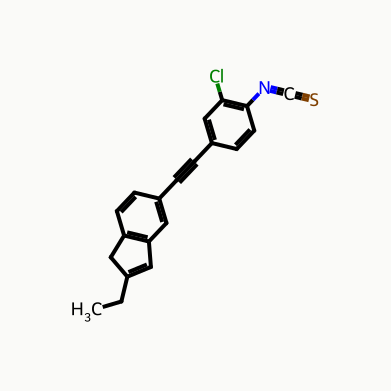 CCC1=Cc2cc(C#Cc3ccc(N=C=S)c(Cl)c3)ccc2C1